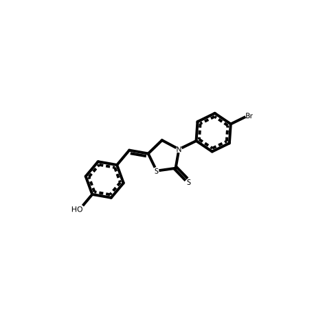 Oc1ccc(C=C2CN(c3ccc(Br)cc3)C(=S)S2)cc1